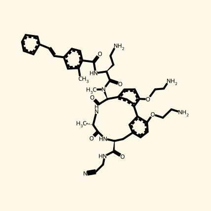 Cc1cc(/C=C/c2ccccc2)ccc1C(=O)N[C@@H](CCN)C(=O)N(C)[C@@H]1C(=O)N[C@@H](C)C(=O)N[C@H](C(=O)NCC#N)Cc2ccc(OCCN)c(c2)-c2cc1ccc2OCCN